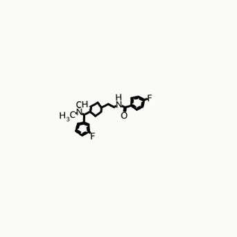 CN(C)C(c1cccc(F)c1)C1CCC(CCNC(=O)c2ccc(F)cc2)CC1